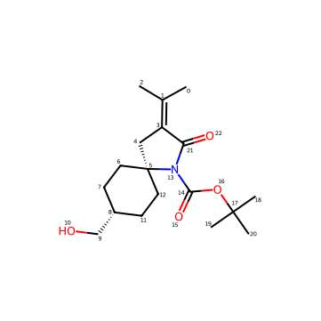 CC(C)=C1C[C@]2(CC[C@@H](CO)CC2)N(C(=O)OC(C)(C)C)C1=O